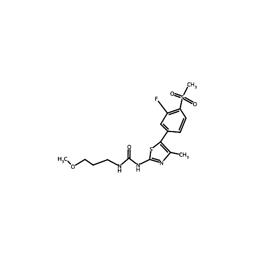 COCCCNC(=O)Nc1nc(C)c(-c2ccc(S(C)(=O)=O)c(F)c2)s1